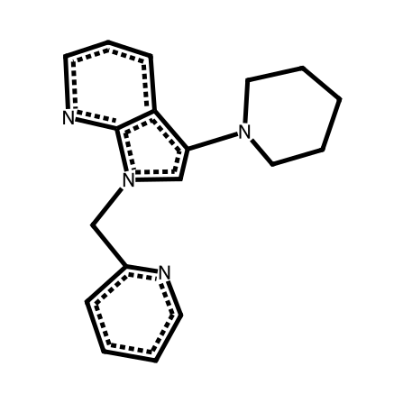 c1ccc(Cn2cc(N3CCCCC3)c3cccnc32)nc1